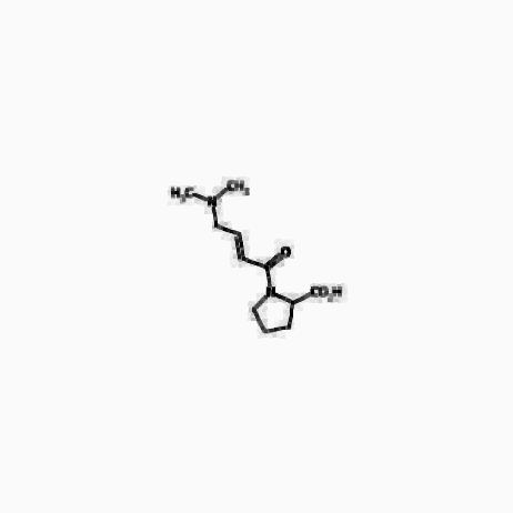 CN(C)CC=CC(=O)N1CCCC1C(=O)O